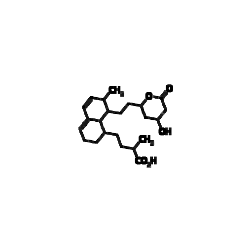 CC(CCC1CCC=C2C=CC(C)C(CCC3CC(O)CC(=O)O3)C21)C(=O)O